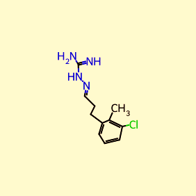 Cc1c(Cl)cccc1CCC=NNC(=N)N